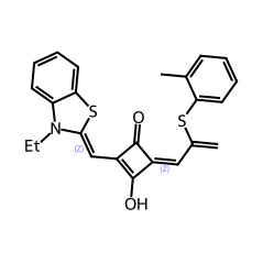 C=C(/C=C1\C(=O)C(/C=C2\Sc3ccccc3N2CC)=C1O)Sc1ccccc1C